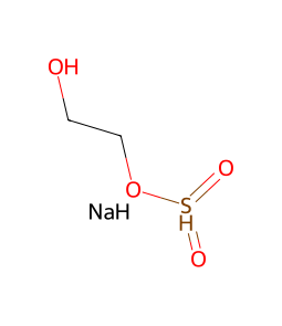 O=[SH](=O)OCCO.[NaH]